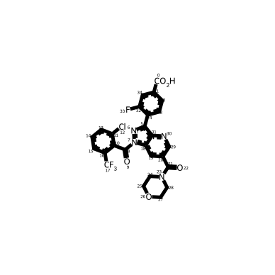 O=C(O)c1ccc(-c2nn(C(=O)c3c(Cl)cccc3C(F)(F)F)c3cc(C(=O)N4CCOCC4)cnc23)c(F)c1